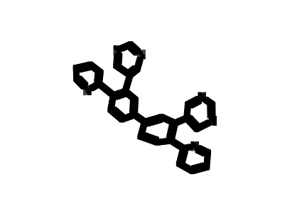 c1ccc(-c2ccc(-c3ccc(-c4ccccn4)c(-c4cncnc4)c3)cc2-c2cncnc2)nc1